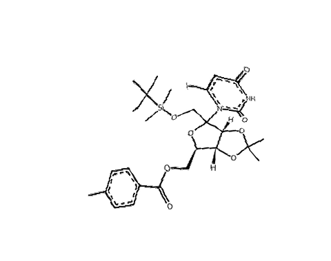 Cc1ccc(C(=O)OC[C@H]2OC(CO[Si](C)(C)C(C)(C)C)(n3c(I)cc(=O)[nH]c3=O)[C@@H]3OC(C)(C)O[C@@H]32)cc1